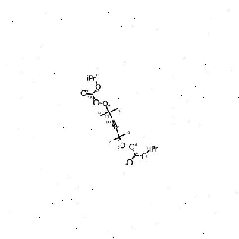 CC(C)OC(=O)OOC(C)(C)C#CC(C)(C)OOC(=O)OC(C)C